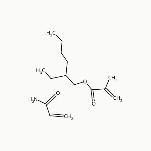 C=C(C)C(=O)OCC(CC)CCCC.C=CC(N)=O